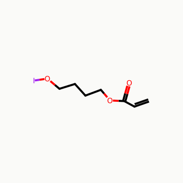 C=CC(=O)OCCCCOI